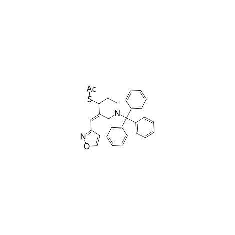 CC(=O)SC1CCN(C(c2ccccc2)(c2ccccc2)c2ccccc2)CC1=Cc1ccon1